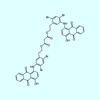 O=C(CC(=O)OCCc1cc(Nc2ccc(O)c3c2C(=O)c2ccccc2C3=O)c(Br)cc1Br)OCCc1cc(Nc2ccc(O)c3c2C(=O)c2ccccc2C3=O)c(Br)cc1Br